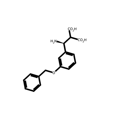 N[C@H](c1cccc(OCc2ccccc2)c1)C(C(=O)O)C(=O)O